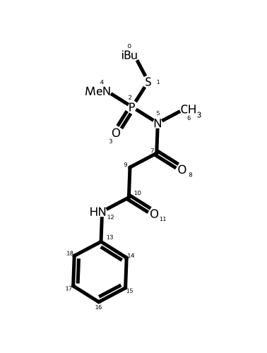 CCC(C)SP(=O)(NC)N(C)C(=O)CC(=O)Nc1ccccc1